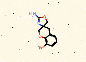 NC1=NC2(CO1)COc1c(Br)cccc1C2